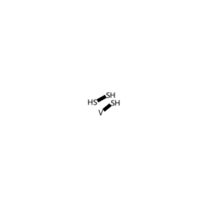 SS.[SH][V]